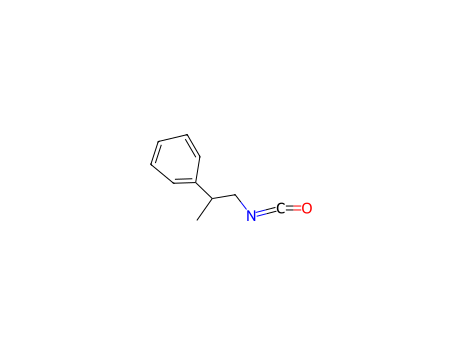 CC(CN=C=O)c1ccccc1